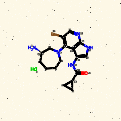 Cl.N[C@H]1CCCCN(c2c(Br)cnc3[nH]cc(NC(=O)C4CC4)c23)C1